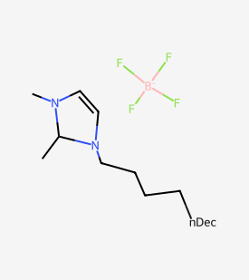 CCCCCCCCCCCCCCN1C=CN(C)C1C.F[B-](F)(F)F